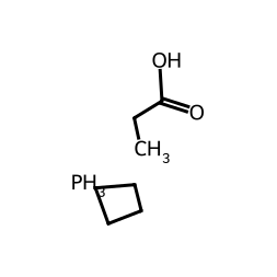 C1CCC1.CCC(=O)O.P